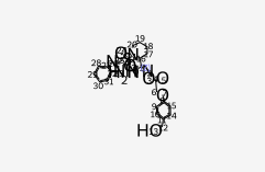 N/C(=N\OC(=O)COc1ccc(CO)cc1)C1CCCCN1S(=O)(=O)c1nc2ccccc2[nH]1